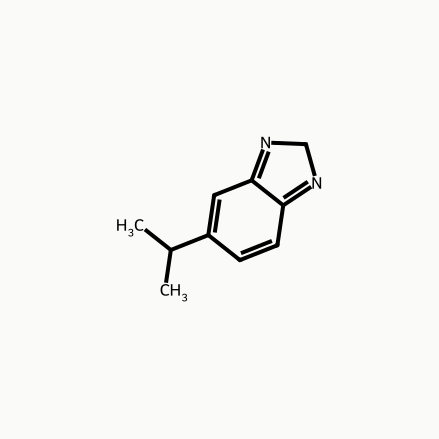 CC(C)c1ccc2c(c1)=NCN=2